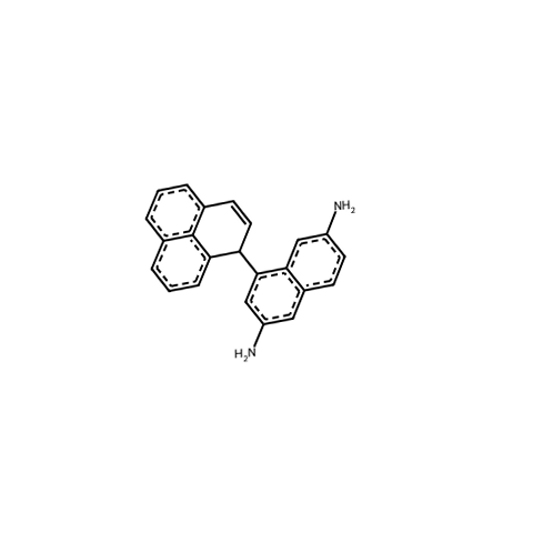 Nc1cc(C2C=Cc3cccc4cccc2c34)c2cc(N)ccc2c1